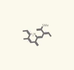 C=C(/C=C(C)\C=C/C)/C(N)=C/C(=C\C)C(=C)SC